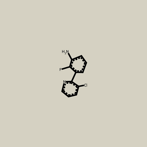 Nc1cccc(-c2ncccc2Cl)c1F